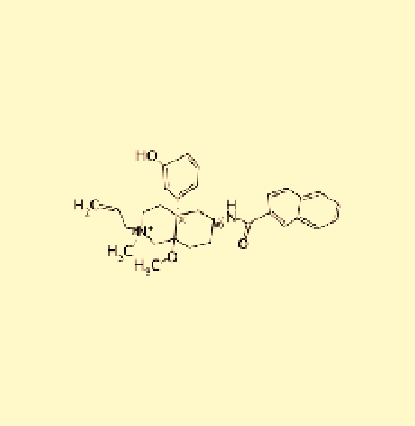 C=CC[N@@+]1(C)CC[C@@]2(c3cccc(O)c3)C[C@H](NC(=O)c3ccc4ccccc4c3)CCC2(OC)C1